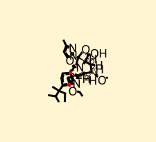 [2H]C([2H])(OC)[C@H]1C([2H])([2H])[C@](C(=O)O)(C(C)(C)n2ccc(C)n2)N(C(=O)c2ccc(C(C)(CC)C(C)C)c(OCC)c2)[C@@]1([2H])c1nccs1